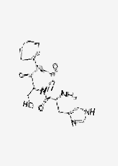 NC(Cc1c[nH]cn1)C(=O)NC(CO)C(=O)N(c1ccccc1)[N+](=O)[O-]